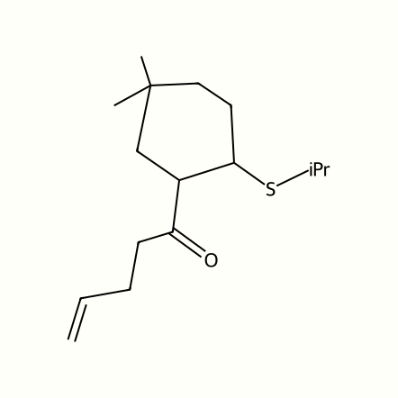 C=CCCC(=O)C1CC(C)(C)CCC1SC(C)C